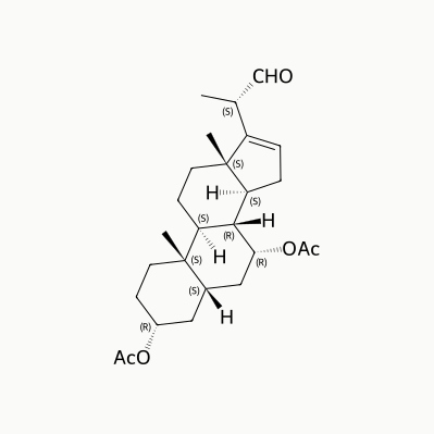 CC(=O)O[C@@H]1CC[C@@]2(C)[C@@H](C1)C[C@@H](OC(C)=O)[C@@H]1[C@@H]2CC[C@]2(C)C([C@H](C)C=O)=CC[C@@H]12